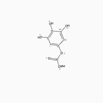 COC(=O)Oc1cc(O)c(O)c(O)c1